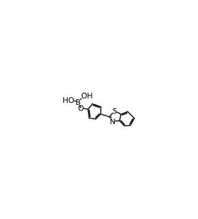 OB(O)Oc1ccc(-c2nc3ccccc3s2)cc1